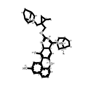 CC1CC1(COC1=NC2C(F)=C(c3cc(O)cc4cccc(Cl)c34)C(F)=CC2C(N2CC3CC[C@@](C)(C2)N3)=N1)CN1CC2CCC(C1)O2